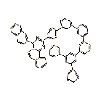 c1ccc(-c2cc(-c3ccccc3)cc(-c3cccc(-c4cccc(-c5cccc(-c6ccc(-c7nc(-c8ccc9ccccc9c8)c8ccc9ccccc9c8n7)cc6)c5)c4)c3)c2)cc1